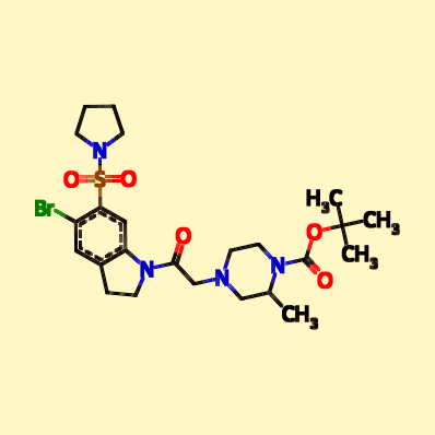 CC1CN(CC(=O)N2CCc3cc(Br)c(S(=O)(=O)N4CCCC4)cc32)CCN1C(=O)OC(C)(C)C